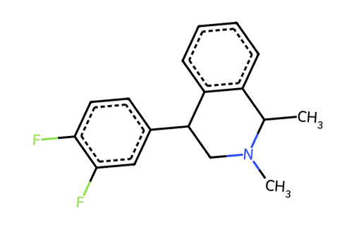 CC1c2ccccc2C(c2ccc(F)c(F)c2)CN1C